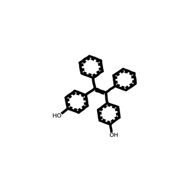 Oc1ccc(C(=C(c2ccccc2)c2ccc(O)cc2)c2ccccc2)cc1